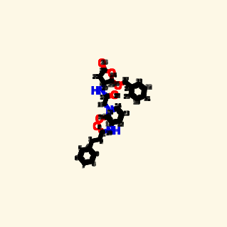 O=C(CCc1ccccc1)Nc1cccn(CC(=O)NC2CC(=O)OC2OCc2ccccc2)c1=O